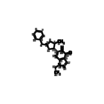 CC1CN(Cc2ccccc2)CC1c1nc2c(cnn2CC(F)(F)F)c(=O)[nH]1